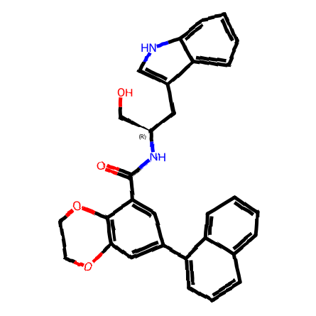 O=C(N[C@@H](CO)Cc1c[nH]c2ccccc12)c1cc(-c2cccc3ccccc23)cc2c1OCCO2